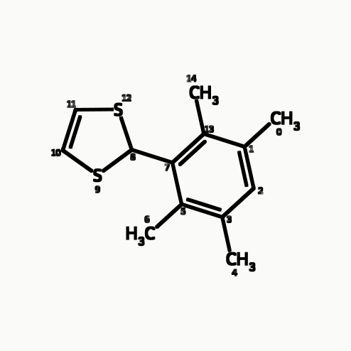 Cc1cc(C)c(C)c(C2SC=CS2)c1C